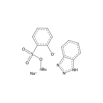 CCCCOS(=O)(=O)c1ccccc1[O-].[Na+].c1ccc2[nH]nnc2c1